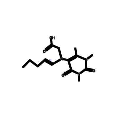 CCC/C=C/N(CC(=O)O)c1c(C)n(C)c(=O)n(C)c1=O